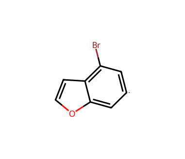 Brc1c[c]cc2occc12